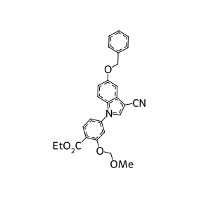 CCOC(=O)c1ccc(-n2cc(C#N)c3cc(OCc4ccccc4)ccc32)cc1OCOC